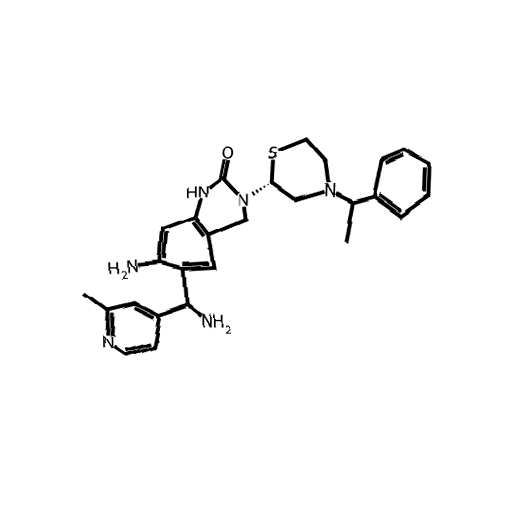 Cc1cc(C(N)c2cc3c(cc2N)NC(=O)N([C@H]2CN(C(C)c4ccccc4)CCS2)C3)ccn1